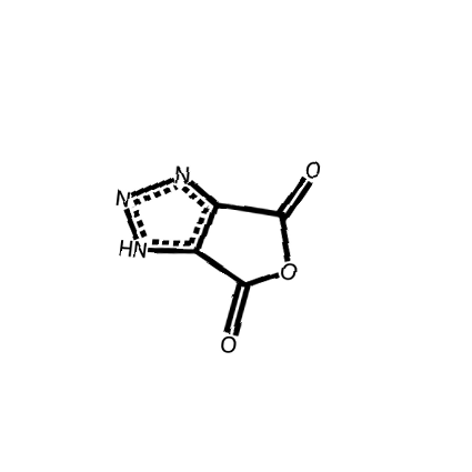 O=C1OC(=O)c2[nH]nnc21